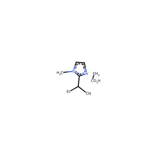 CC(=O)O.CCC(C#N)c1nccn1C